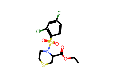 CCOC(=O)C1CSCCN1S(=O)(=O)c1ccc(Cl)cc1Cl